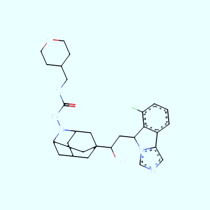 O=C(NCC1CCOCC1)NN1C2CC3CC1CC(C(O)CC1c4c(F)cccc4-c4cncn41)(C3)C2